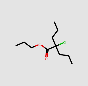 CCCOC(=O)C(Cl)(CCC)CCC